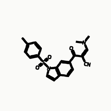 Cc1ccc(S(=O)(=O)n2ccc3ccc(C(=O)/C(C#N)=C\N(C)C)cc32)cc1